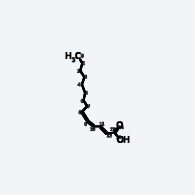 CCCCCCCCC=C=CC=CC(=O)O